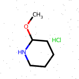 COC1CCCCN1.Cl